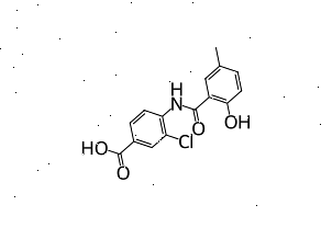 Cc1ccc(O)c(C(=O)Nc2ccc(C(=O)O)cc2Cl)c1